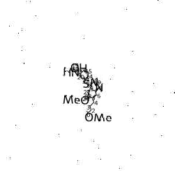 COCCCCc1cc2ncnc(Sc3cccc(NO)c3)c2cc1OC